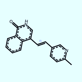 Cc1ccc(/C=C/c2c[nH]c(=O)c3ccccc23)cn1